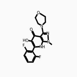 Cn1nc(N2CCOCC2)c2c(=O)c(O)c(-c3c(F)cccc3F)[nH]c21